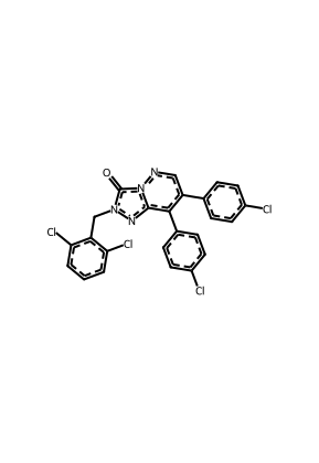 O=c1n(Cc2c(Cl)cccc2Cl)nc2c(-c3ccc(Cl)cc3)c(-c3ccc(Cl)cc3)cnn12